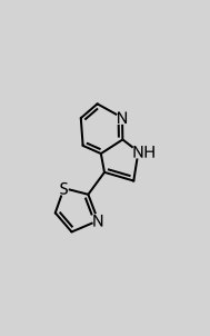 c1cnc2[nH]cc(-c3nccs3)c2c1